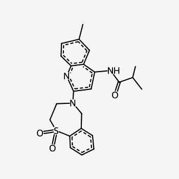 Cc1ccc2nc(N3CCS(=O)(=O)c4ccccc4C3)cc(NC(=O)C(C)C)c2c1